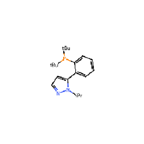 CC(C)n1nccc1-c1ccccc1P(C(C)(C)C)C(C)(C)C